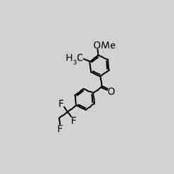 COc1ccc(C(=O)c2ccc(C(F)(F)CF)cc2)cc1C